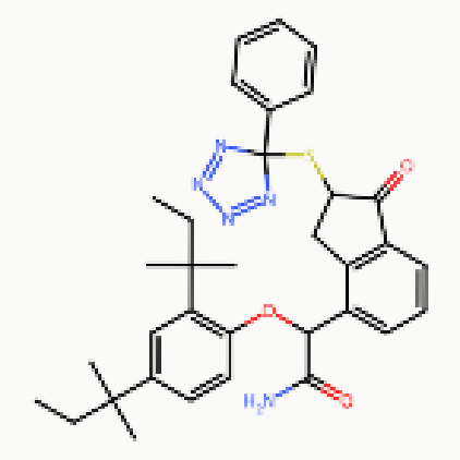 CCC(C)(C)c1ccc(OC(C(N)=O)c2cccc3c2CC(SC2(c4ccccc4)N=NN=N2)C3=O)c(C(C)(C)CC)c1